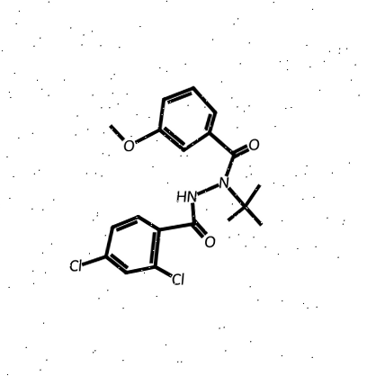 COc1cccc(C(=O)N(NC(=O)c2ccc(Cl)cc2Cl)C(C)(C)C)c1